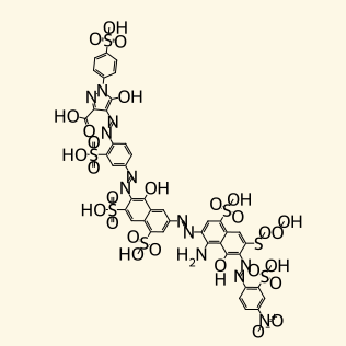 Nc1c(N=Nc2cc(S(=O)(=O)O)c3cc(S(=O)(=O)O)c(N=Nc4ccc(N=Nc5c(C(=O)O)nn(-c6ccc(S(=O)(=O)O)cc6)c5O)c(S(=O)(=O)O)c4)c(O)c3c2)cc(S(=O)(=O)O)c2cc(SOOO)c(N=Nc3ccc([N+](=O)[O-])cc3S(=O)(=O)O)c(O)c12